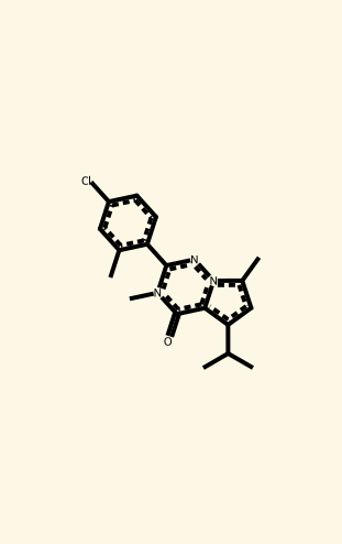 Cc1cc(Cl)ccc1-c1nn2c(C)cc(C(C)C)c2c(=O)n1C